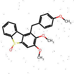 COc1ccc(Cc2c(OC)c(OC)cc3c2c2ccccc2[s+]3[O-])cc1